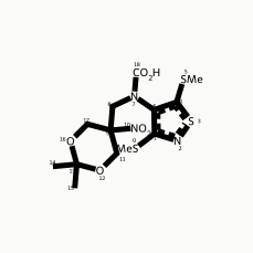 CSc1nsc(SC)c1N(CC1([N+](=O)[O-])COC(C)(C)OC1)C(=O)O